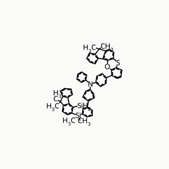 CC1(C)c2ccccc2-c2c1ccc1c2Oc2c(cccc2-c2ccc(N(c3ccccc3)c3ccc(-c4cccc5c4[SiH2]c4c(ccc6c4-c4ccccc4C6(C)C)[Si]5(C)C)cc3)cc2)S1